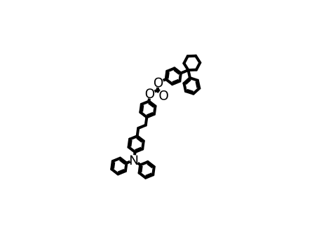 O=C(Oc1ccc(CCc2ccc(N(c3ccccc3)c3ccccc3)cc2)cc1)Oc1ccc(C2(c3ccccc3)CCCCC2)cc1